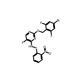 O=[N+]([O-])c1ccccc1SNc1nc(OCc2c(F)cc(Br)cc2F)ncc1F